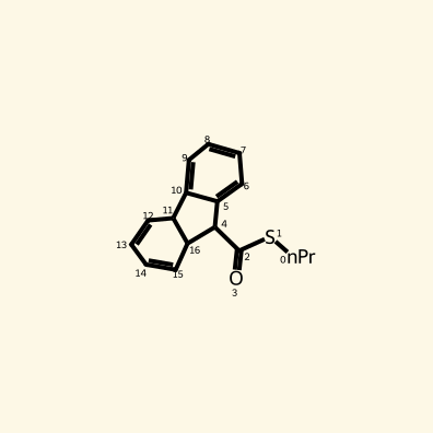 CCCSC(=O)C1c2ccccc2C2C=CC=CC21